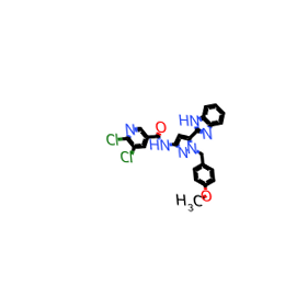 COc1ccc(Cn2nc(NC(=O)c3cnc(Cl)c(Cl)c3)cc2-c2nc3ccccc3[nH]2)cc1